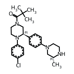 C[C@@H]1CN(c2ccc([C@@H]3CN(C(=O)C(C)(C)C)CCN3c3ccc(Cl)cc3)cc2)CCN1